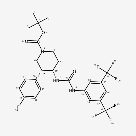 CC(C)(C)OC(=O)N1CC[C@H](NC(=O)Nc2cc(C(F)(F)F)cc(C(F)(F)F)c2)[C@H](c2ccc(F)cc2)C1